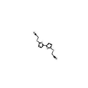 N#CCSc1ccc(-c2ccc(SCC#N)s2)s1